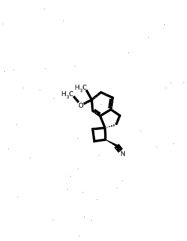 COC1(C)C=C2C(=CC1)CC[C@]21CC[C@@H]1C#N